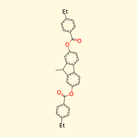 CCc1ccc(C(=O)Oc2ccc3c(c2)C(C)c2cc(OC(=O)c4ccc(CC)cc4)ccc2-3)cc1